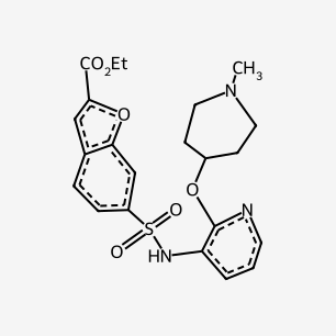 CCOC(=O)c1cc2ccc(S(=O)(=O)Nc3cccnc3OC3CCN(C)CC3)cc2o1